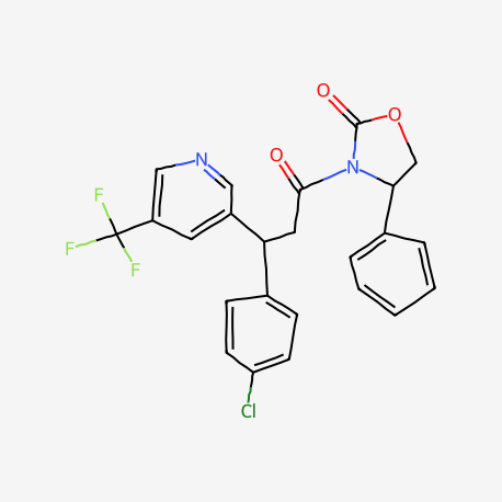 O=C(CC(c1ccc(Cl)cc1)c1cncc(C(F)(F)F)c1)N1C(=O)OCC1c1ccccc1